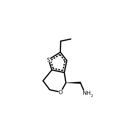 CCc1cc2c(s1)CCO[C@@H]2CN